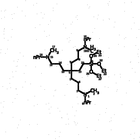 CCCN(C)CCCC(CCCN(C)CCC)(CCCN(C)CCC)CC[Si](OCC)(OCC)OCC